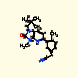 Cc1ccc(CC#N)cc1-c1ccc2c(n1)n(C)c(=O)n2CC(C)(C)C